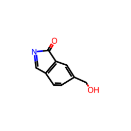 O=C1N=Cc2ccc(CO)cc21